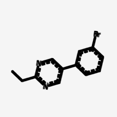 CCc1ncc(-c2cccc(Br)c2)cn1